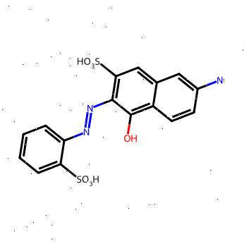 [N]c1ccc2c(O)c(/N=N/c3ccccc3S(=O)(=O)O)c(S(=O)(=O)O)cc2c1